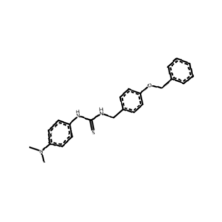 CN(C)c1ccc(NC(=S)NCc2ccc(OCc3ccccc3)cc2)cc1